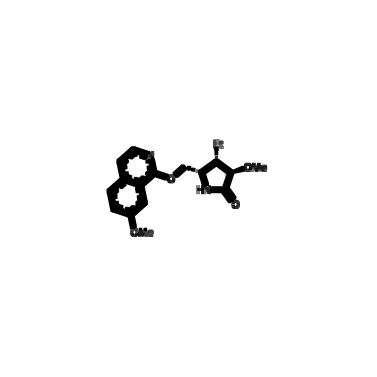 CC[C@H]1[C@@H](COc2nccc3ccc(OC)cc23)NC(=O)[C@@H]1OC